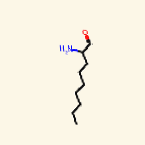 CCCCCCCC(N)[C]=O